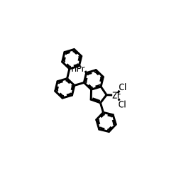 CCCc1ccc2c(c1-c1ccccc1-c1ccccc1)C=C(c1ccccc1)[CH]2[Zr]([Cl])[Cl]